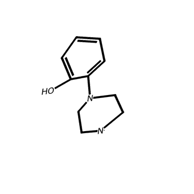 Oc1ccccc1N1CC[N]CC1